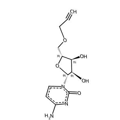 C#CCOC[C@H]1O[C@@H](n2ccc(N)nc2=O)[C@H](O)[C@@H]1O